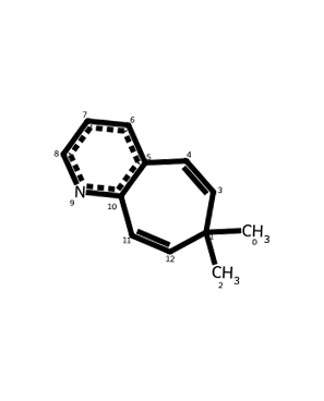 CC1(C)C=Cc2cccnc2C=C1